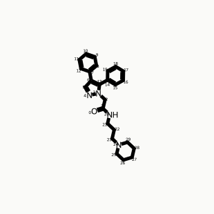 O=C(Cn1ncc(-c2ccccc2)c1-c1ccccc1)NCCCN1CCCCC1